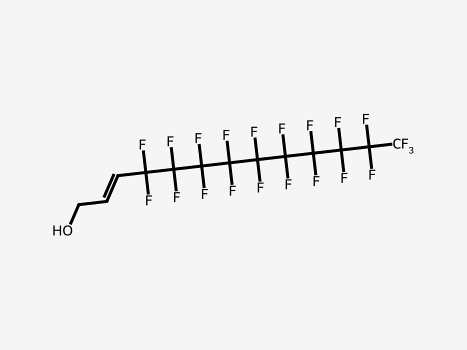 OCC=CC(F)(F)C(F)(F)C(F)(F)C(F)(F)C(F)(F)C(F)(F)C(F)(F)C(F)(F)C(F)(F)C(F)(F)F